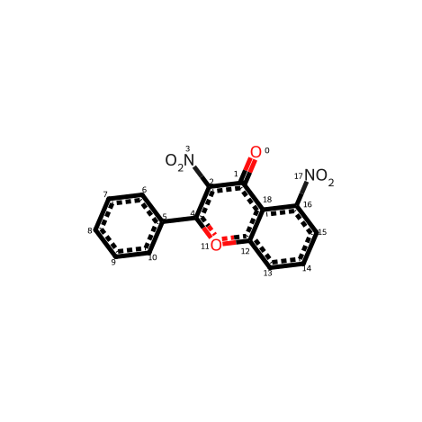 O=c1c([N+](=O)[O-])c(-c2ccccc2)oc2cccc([N+](=O)[O-])c12